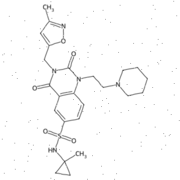 Cc1cc(Cn2c(=O)c3cc(S(=O)(=O)NC4(C)CC4)ccc3n(CCN3CCCCC3)c2=O)on1